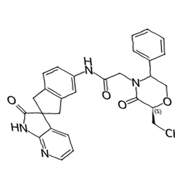 CC[C@@H]1OCC(c2ccccc2)N(CC(=O)Nc2ccc3c(c2)CC2(C3)C(=O)Nc3ncccc32)C1=O